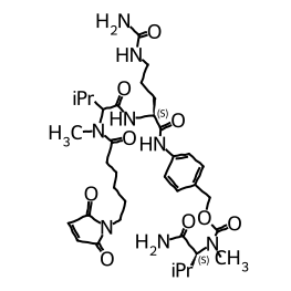 CC(C)C(C(=O)N[C@@H](CCCNC(N)=O)C(=O)Nc1ccc(COC(=O)N(C)[C@H](C(N)=O)C(C)C)cc1)N(C)C(=O)CCCCCN1C(=O)C=CC1=O